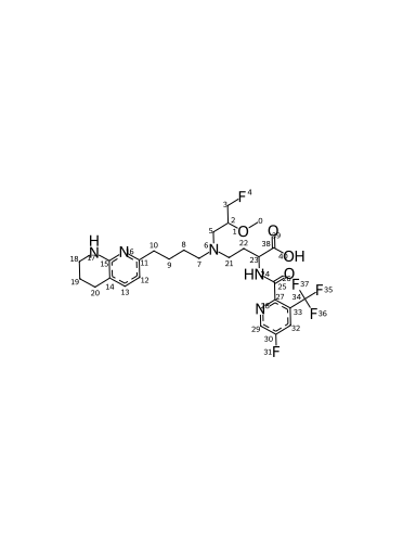 COC(CF)CN(CCCCc1ccc2c(n1)NCCC2)CCC(NC(=O)c1ncc(F)cc1C(F)(F)F)C(=O)O